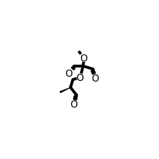 COC(C=O)(C=O)OC[C@H](C)C=O